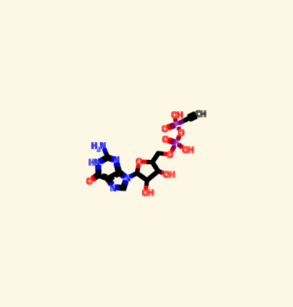 C#CP(=O)(O)OP(=O)(O)OCC1OC(n2cnc3c(=O)[nH]c(N)nc32)C(O)C1O